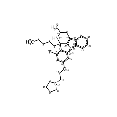 CCCCCC1(c2c(F)cc(OCCN3CCCC3)cc2F)NC(C)Cc2c1[nH]c1ccccc21